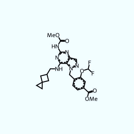 COC(=O)Nc1nc(NCC2CC3(CC3)C2)c2c(cnn2Cc2ccc(C(=O)OC)cc2OC(F)F)n1